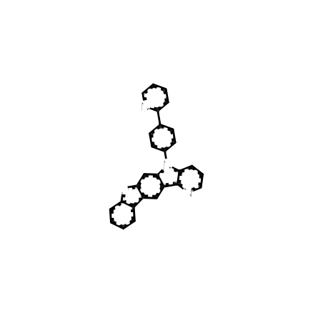 c1ccc(-c2ccc(-n3c4cc5sc6ccccc6c5cc4c4ncccc43)cc2)nc1